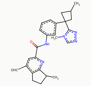 CC1CC(c2cccc(NC(=O)c3cc(C=O)c4c(n3)C(C)CC4)c2)(c2nncn2C)C1